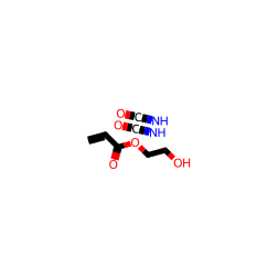 C=CC(=O)OCCO.N=C=O.N=C=O